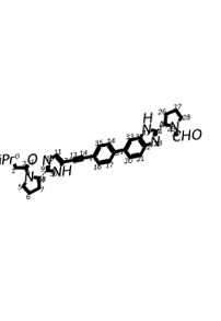 CC(C)CC(=O)N1CCC[C@H]1c1ncc(C#Cc2ccc(-c3ccc4nc([C@@H]5CCCN5C=O)[nH]c4c3)cc2)[nH]1